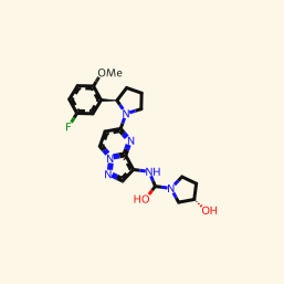 COc1ccc(F)cc1[C@H]1CCCN1c1ccn2ncc(NC(O)N3CC[C@H](O)C3)c2n1